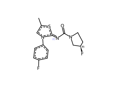 Cc1cn(-c2ccc(F)cc2)/c(=N/C(=O)N2CC[C@@H](F)C2)s1